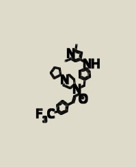 Cc1cc(Nc2ccc(CN(C(=O)C=Cc3ccc(C(F)(F)F)cc3)C3CCN(C4CCCC4)CC3)cc2)cc(C)n1